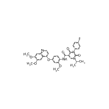 COc1cc(Oc2ccnc3cc(OC)c(OC)cc23)ccc1NC(=O)c1cn(C(C)C)c(=O)n(-c2ccc(F)cc2)c1=O